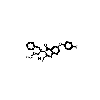 COC[C@@H](Cc1ccccc1)n1c(C)nc2ccc(Oc3ccc(F)cc3)cc2c1=O